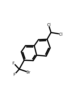 FC(F)(Br)c1ccc2cc(C(Cl)Cl)ccc2c1